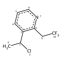 CC(Cl)c1cccnc1CC(F)(F)F